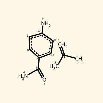 C=C(C)C.NC(=O)c1ccc(N)cc1